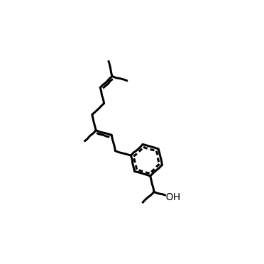 CC(C)=CCC/C(C)=C/Cc1cccc(C(C)O)c1